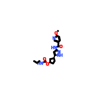 CCCNC(=O)O[C@@H]1CC[C@H](c2cc(NC(=O)c3ccc(OC)nc3)n[nH]2)C1